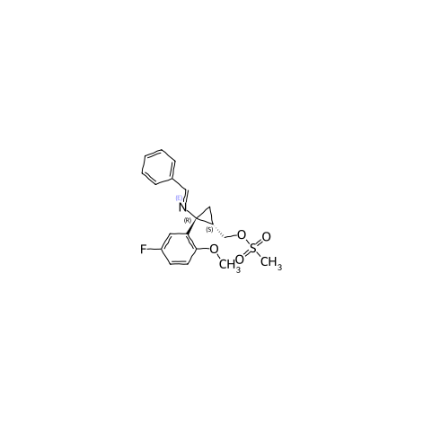 COc1ccc(F)cc1[C@@]1(/N=C/c2ccccc2)C[C@@H]1COS(C)(=O)=O